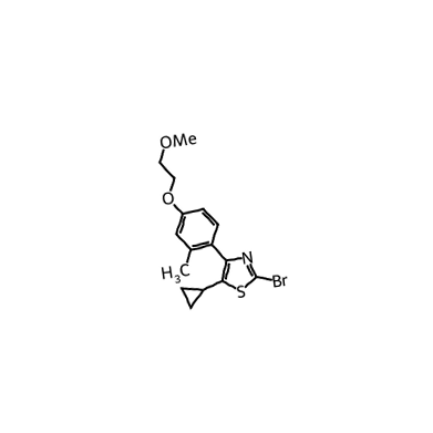 COCCOc1ccc(-c2nc(Br)sc2C2CC2)c(C)c1